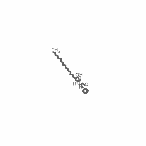 CCCCCCCCCCCCCCCCCCC(CC(=O)NC1=NN(c2ccccc2)C(=O)C1)C(=O)O